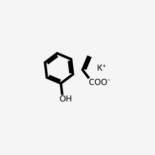 C=CC(=O)[O-].Oc1ccccc1.[K+]